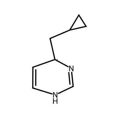 C1=C[C](CC2CC2)N=CN1